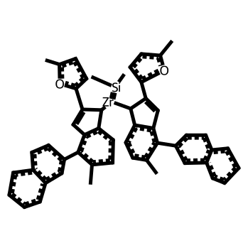 Cc1ccc(C2=Cc3c(ccc(C)c3-c3ccc4ccccc4c3)[CH]2[Zr]([CH]2C(c3ccc(C)o3)=Cc3c2ccc(C)c3-c2ccc3ccccc3c2)=[Si](C)C)o1